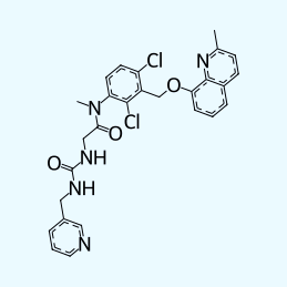 Cc1ccc2cccc(OCc3c(Cl)ccc(N(C)C(=O)CNC(=O)NCc4cccnc4)c3Cl)c2n1